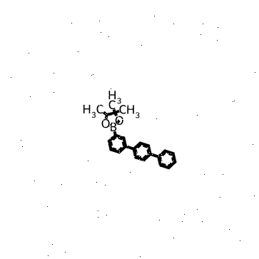 CC1OB(c2cccc(-c3ccc(-c4ccccc4)cc3)c2)OC1(C)C